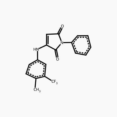 Cc1ccc(NC2=CC(=O)N(c3ccccc3)C2=O)cc1C(F)(F)F